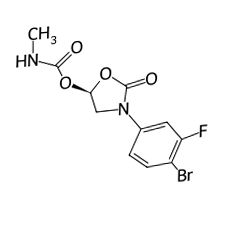 CNC(=O)O[C@@H]1CN(c2ccc(Br)c(F)c2)C(=O)O1